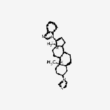 C[C@]12CCC(n3ccnc3)CC1=CCC1C2CC[C@]2(C)C(n3cnc4ccccc43)=CCC12